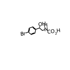 O=C(O)NC[C@H](O)c1ccc(Br)cc1